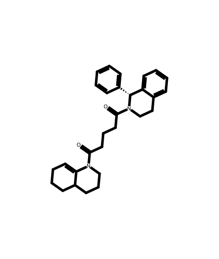 O=C(CCCC(=O)N1CCc2ccccc2[C@H]1c1ccccc1)N1CCCC2CCCC=C21